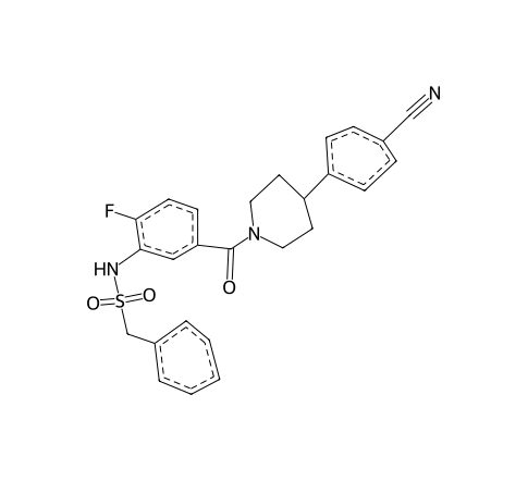 N#Cc1ccc(C2CCN(C(=O)c3ccc(F)c(NS(=O)(=O)Cc4ccccc4)c3)CC2)cc1